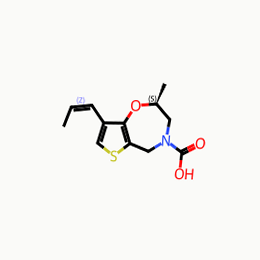 C/C=C\c1csc2c1O[C@@H](C)CN(C(=O)O)C2